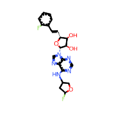 O[C@@H]1[C@H](O)[C@@H](C=Cc2ccccc2F)O[C@H]1n1cnc2c(NC3COC(F)C3)ncnc21